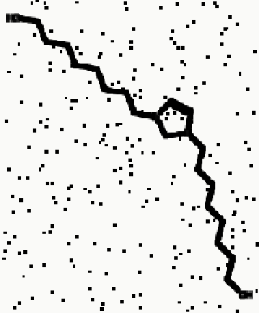 OCCCCCCCCN1C=CN(CCCCCCCCO)C1